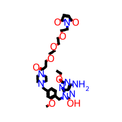 CCOc1nc(N)c2nc(O)n(Cc3ccc(CN4CCN(C(=O)CCOCCOCCOCCN5C(=O)C=CC5=O)CC4)cc3OC)c2n1